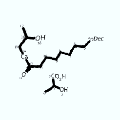 CC(O)C(=O)O.CCCCCCCCCCCCCCCCC[C](=O)[Ca][CH2]C(C)O